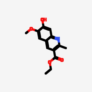 CCOC(=O)c1cc2cc(OC)c(O)cc2nc1C